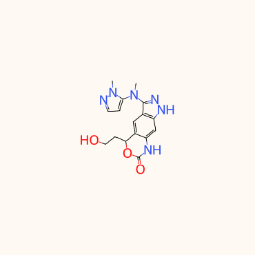 CN(c1n[nH]c2cc3c(cc12)C(CCO)OC(=O)N3)c1ccnn1C